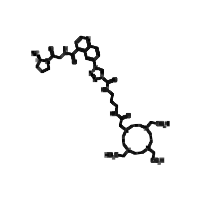 N#C[C@@H]1CCCN1C(=O)CNC(=O)c1ccnc2ccc(-n3cc(C(=O)NCCCNC(=O)CN4CCN(CC(=O)O)CCN(CC(=O)O)CCN(CC(=O)O)CC4)nn3)cc12